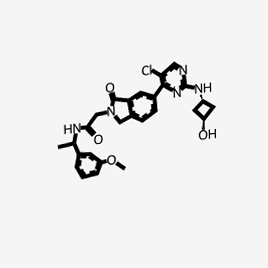 COc1cccc(C(C)NC(=O)CN2Cc3ccc(-c4nc(N[C@H]5C[C@H](O)C5)ncc4Cl)cc3C2=O)c1